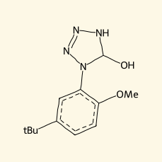 COc1ccc(C(C)(C)C)cc1N1N=NNC1O